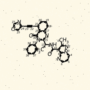 Cc1nn2cccnc2c1C(=O)N[C@@H](C)c1nc2cccc(C#Cc3cocn3)c2c(=O)n1-c1ccccc1